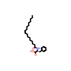 CCCCCCCC/C=C\CCCCCCCC(=O)N[C@@H](Cc1ccccc1)C(=O)O